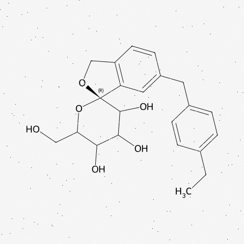 CCc1ccc(Cc2ccc3c(c2)[C@@]2(OC3)OC(CO)C(O)C(O)C2O)cc1